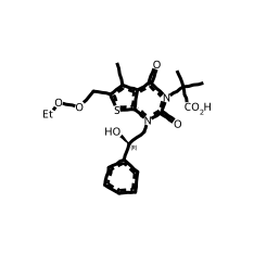 CCOOCc1sc2c(c1C)c(=O)n(C(C)(C)C(=O)O)c(=O)n2C[C@H](O)c1ccccc1